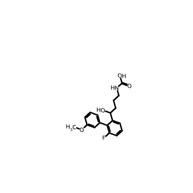 COc1cccc(-c2c(F)cccc2C(O)CCCNC(=O)O)c1